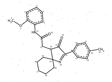 COc1ccccc1NC(=O)CN1C(=O)C(c2ccc(C)cc2)=NC12CCCCC2